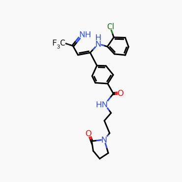 N=C(/C=C(\Nc1ccccc1Cl)c1ccc(C(=O)NCCCN2CCCC2=O)cc1)C(F)(F)F